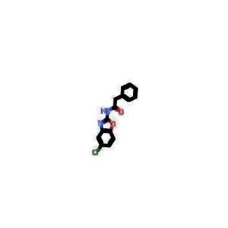 O=C(Cc1ccccc1)Nc1nc2cc(Cl)ccc2o1